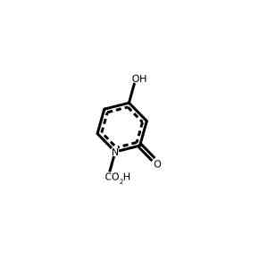 O=C(O)n1ccc(O)cc1=O